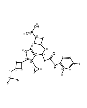 Cc1ccc(NC(=O)CC(CC2CC(C(=O)O)C2)c2noc(C3CC(CC(C)C)C3)c2C2CC2)c(C)c1